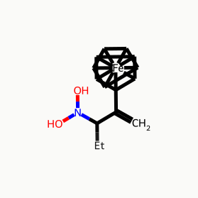 C=C(C(CC)N(O)O)[C]12[CH]3[CH]4[CH]5[CH]1[Fe]45321678[CH]2[CH]1[CH]6[CH]7[CH]28